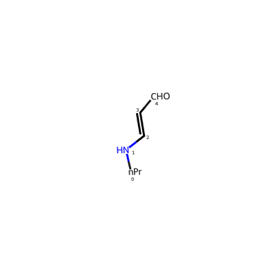 CCCNC=CC=O